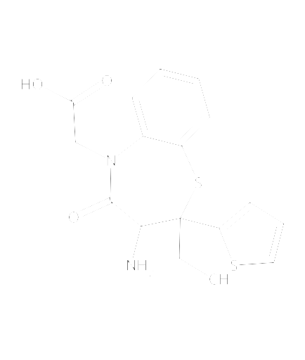 CCC1(c2cccs2)Sc2ccccc2N(CC(=O)O)C(=O)C1N